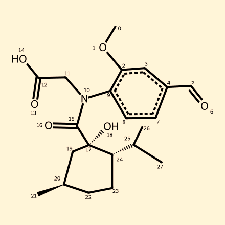 COc1cc(C=O)ccc1N(CC(=O)O)C(=O)[C@]1(O)C[C@H](C)CC[C@H]1C(C)C